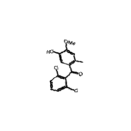 COc1cc(C)c(C(=O)c2c(Cl)cccc2Cl)cc1O